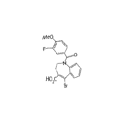 COc1ccc(C(=O)N2CCC(C(=O)O)=C(Br)c3ccccc32)cc1F